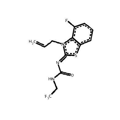 C=CCn1c(=NC(=O)NCC(F)(F)F)sc2cccc(F)c21